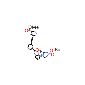 COC(=O)c1cncc(C#Cc2cccc(C(=O)Cc3cccc(N4CCN(C(=O)OC(C)(C)C)CC4)c3C(F)(F)F)c2)c1